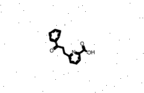 O=C(CCc1cccc(C(=O)O)n1)c1ccccc1